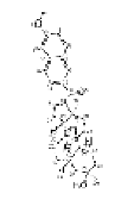 COc1ccc2cc(C(=O)[C@H]3CC[C@H]4[C@@H]5CC[C@H]6C[C@](C)(O)CC[C@@H]6[C@@]5(C)CC[C@]34C)ccc2c1